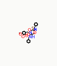 COc1ccc(CCN2C(=O)c3sc(-c4ccccc4)nc3OCC2(C)C(=O)NCc2ccccc2)c(OC)c1OC